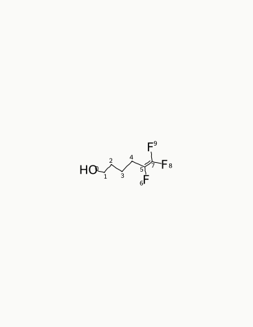 OCCCCC(F)=C(F)F